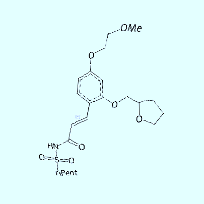 CCCCCS(=O)(=O)NC(=O)/C=C/c1ccc(OCCOC)cc1OCC1CCCO1